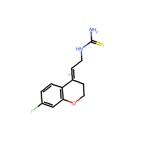 NC(=S)NC/C=C1\CCOc2cc(F)ccc21